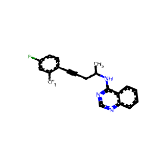 CC(CC#Cc1ccc(F)cc1C(F)(F)F)Nc1ncnc2ccccc12